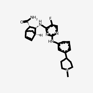 CN1CCC(c2cccc(Nc3ncc(F)c(N[C@@H]4[C@H]5C=CC(C5)[C@@H]4C(N)=O)n3)c2)CC1